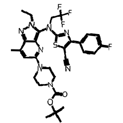 CCn1nc2c(C)cc(N3CCN(C(=O)OC(C)(C)C)CC3)nc2c1N(CC(F)(F)F)c1nc(-c2ccc(F)cc2)c(C#N)s1